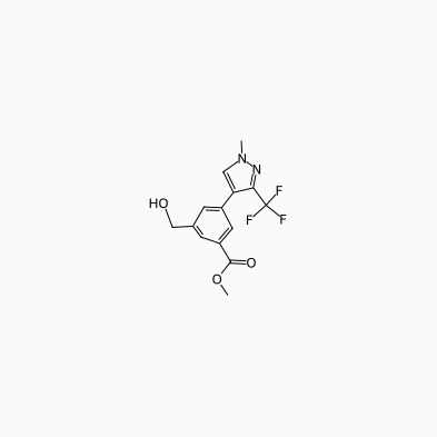 COC(=O)c1cc(CO)cc(-c2cn(C)nc2C(F)(F)F)c1